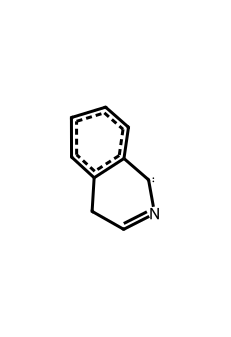 [C]1N=CCc2ccccc21